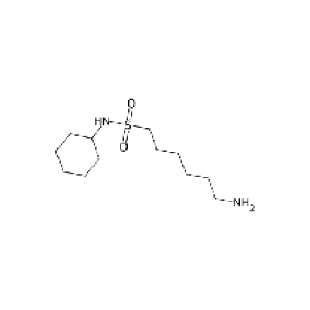 NCCCCCCS(=O)(=O)NC1CCCCC1